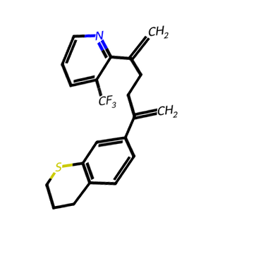 C=C(CCC(=C)c1ncccc1C(F)(F)F)c1ccc2c(c1)SCCC2